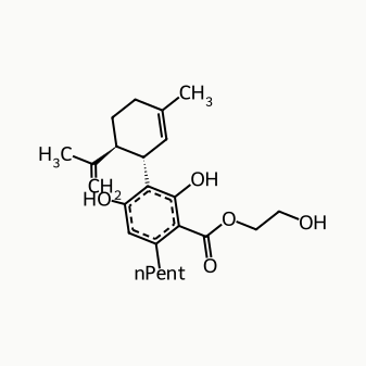 C=C(C)[C@H]1CCC(C)=C[C@@H]1c1c(O)cc(CCCCC)c(C(=O)OCCO)c1O